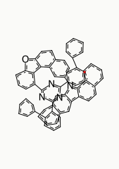 c1ccc(-c2cccc(-c3nc(-c4ccccc4-c4ccccc4)nc(-c4cccc5oc6ccc7ccc(-n8c9cc%10ccccc%10cc9c9ccc%10ccccc%10c98)cc7c6c45)n3)c2)cc1